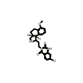 COc1cccc2c1CC[C@H]1CNC(CCn3c(=O)[nH]c4cc(Cl)ccc4c3=O)[C@@H]21